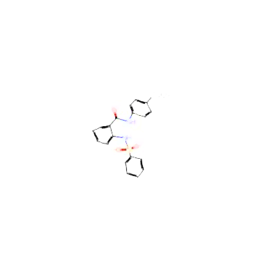 O=C(O)c1ccc(NC(=O)c2ccccc2NS(=O)(=O)c2ccccc2)cc1